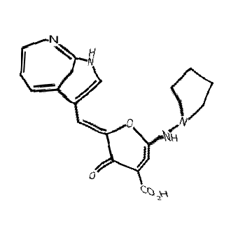 O=C(O)C1=C(NN2CCCC2)OC(=Cc2c[nH]c3ncccc23)C1=O